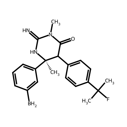 Bc1cccc([C@@]2(C)NC(=N)N(C)C(=O)C2c2ccc(C(C)(C)F)cc2)c1